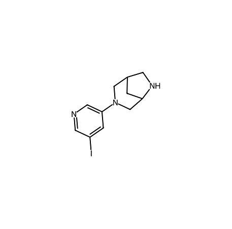 Ic1cncc(N2CC3CNC(C3)C2)c1